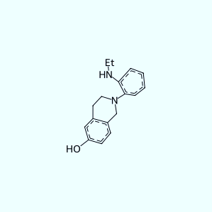 CCNc1ccccc1N1CCc2cc(O)ccc2C1